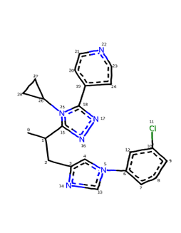 CC(Cc1cn(-c2cccc(Cl)c2)cn1)c1nnc(-c2ccncc2)n1C1CC1